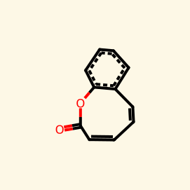 O=C1C=CC=Cc2ccccc2O1